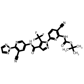 CC(C)(C)OC(=O)Nc1nc(-n2ncc(C(=O)Nc3cnc(-n4nccn4)c(C#N)c3)c2C(F)(F)F)ccc1C#N